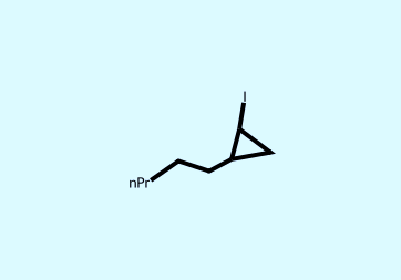 CCCCCC1CC1I